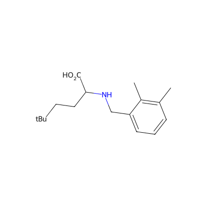 Cc1cccc(CNC(CCC(C)(C)C)C(=O)O)c1C